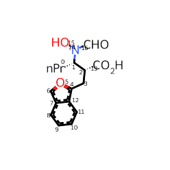 CCC[C@@H]([C@@H](Cc1occ2ccccc12)C(=O)O)N(O)C=O